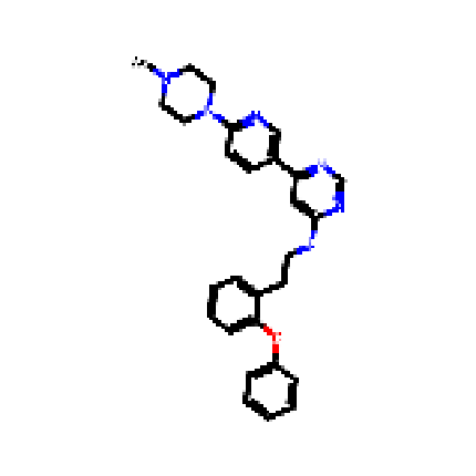 CC(=O)N1CCN(c2ccc(-c3cc(NCCc4ccccc4Oc4ccccc4)ncn3)cn2)CC1